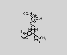 CCOc1cc2c(cc1OC)C(c1cnc(=O)n(C)c1)=N[C@@H]1CC[C@@H](OC(=O)CC(O)(CC(=O)O)C(=O)O)C[C@H]21